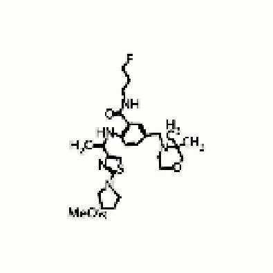 C=C(Nc1ccc(CN2CCOCC2(C)C)cc1C(=O)NCCCF)c1csc(N2CC[C@H](OC)C2)n1